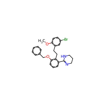 COc1ccc(Br)cc1CCc1c(OCc2ccccc2)cccc1C1=NCCCN1